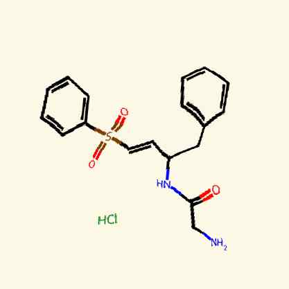 Cl.NCC(=O)NC(C=CS(=O)(=O)c1ccccc1)Cc1ccccc1